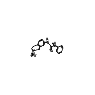 CN1CCc2ccc(NC(=O)Nc3ccccc3)cc2C1